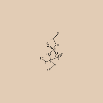 C#CC(CF)(CF)OS(=O)(=O)CCC